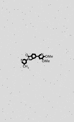 COc1cc(-c2ccc3c(c2)CN(c2cncc(C)c2)C3=O)cnc1OC